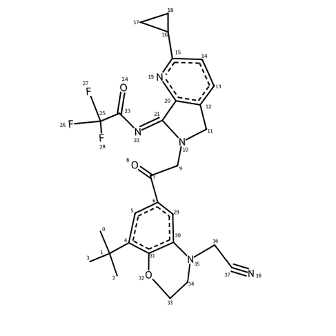 CC(C)(C)c1cc(C(=O)CN2Cc3ccc(C4CC4)nc3C2=NC(=O)C(F)(F)F)cc2c1OCCN2CC#N